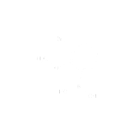 COc1c(Br)cccc1B(O)O